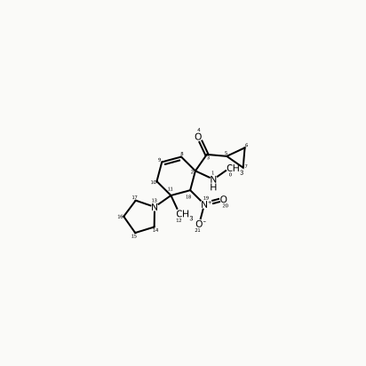 CNC1(C(=O)C2CC2)C=CCC(C)(N2CCCC2)C1[N+](=O)[O-]